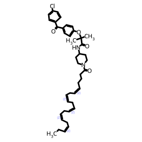 CC/C=C\C/C=C\C/C=C\C/C=C\C/C=C\CCCC(=O)N1CCC(NC(=O)C(C)(C)Oc2ccc(C(=O)c3ccc(Cl)cc3)cc2)CC1